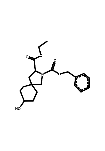 CCOC(=O)C1CC2(CCC(O)CC2)CN1C(=O)OCc1ccccc1